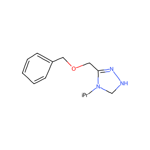 CC(C)N1CNN=C1COCc1ccccc1